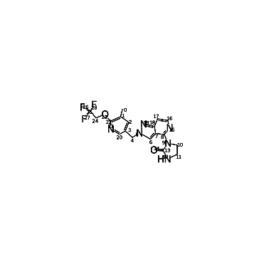 Cc1cc(Cn2cc3c(N4CCNC4=O)nccc3n2)cnc1OCC(F)(F)F